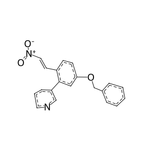 O=[N+]([O-])C=Cc1ccc(OCc2ccccc2)cc1-c1cccnc1